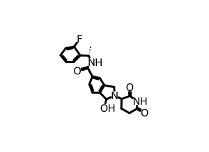 C[C@H](NC(=O)c1ccc2c(c1)CN(C1CCC(=O)NC1=O)C2O)c1ccccc1F